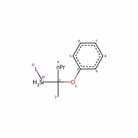 CCCC(C)(Oc1ccccc1)[SiH2]I